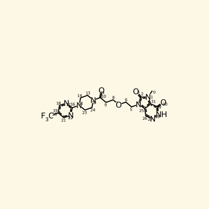 Cn1c(=O)n(CCOCCC(=O)N2CCN(c3ncc(C(F)(F)F)cn3)CC2)c2cn[nH]c(=O)c21